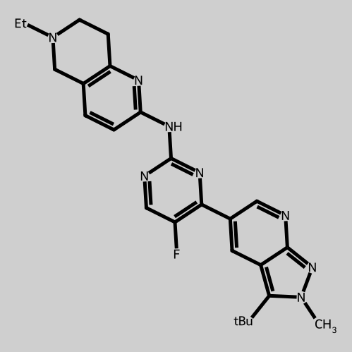 CCN1CCc2nc(Nc3ncc(F)c(-c4cnc5nn(C)c(C(C)(C)C)c5c4)n3)ccc2C1